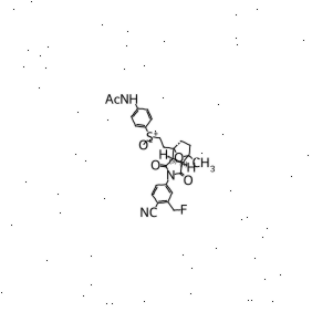 CC(=O)Nc1ccc([S+]([O-])CCC23CCC(C)(O2)[C@@H]2C(=O)N(c4ccc(C#N)c(CF)c4)C(=O)[C@@H]23)cc1